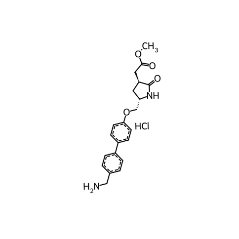 COC(=O)C[C@@H]1C[C@@H](COc2ccc(-c3ccc(CN)cc3)cc2)NC1=O.Cl